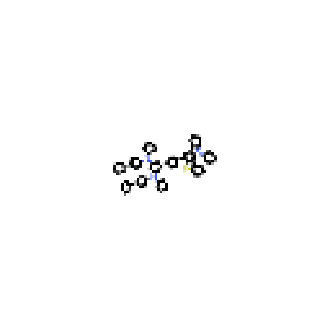 c1ccc(-c2ccc(N(c3ccccc3)c3cc(-c4ccc(-c5cc6c7ccccc7n(-c7ccccc7)c6c6c5sc5ccccc56)cc4)cc(N(c4ccccc4)c4ccc(-c5ccccc5)cc4)c3)cc2)cc1